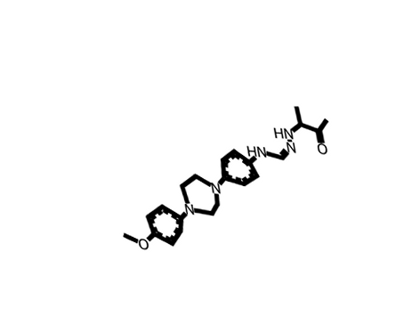 COc1ccc(N2CCN(c3ccc(N/C=N\NC(C)C(C)=O)cc3)CC2)cc1